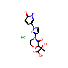 Cl.Cn1cc(-n2ccc(N3CCOC(C(C)(O)C(=O)O)C3=O)n2)ccc1=O